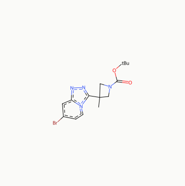 CC(C)(C)OC(=O)N1CC(C)(c2nnc3cc(Br)ccn23)C1